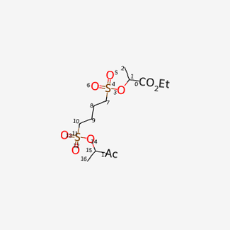 CCOC(=O)C(C)OS(=O)(=O)CCCCS(=O)(=O)OC(C)C(C)=O